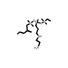 CCCC(C)C[Si](C)(C)O[Si](C)(CCCNCCN)O[Si](C)(C)CC